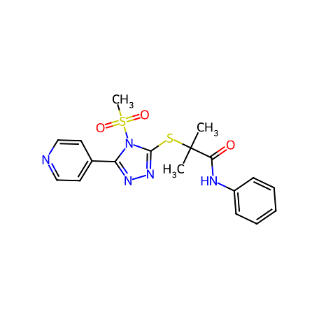 CC(C)(Sc1nnc(-c2ccncc2)n1S(C)(=O)=O)C(=O)Nc1ccccc1